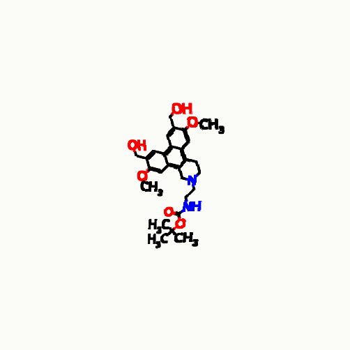 COc1cc2c3c(c4cc(OC)c(CO)cc4c2cc1CO)CN(CCNC(=O)OC(C)(C)C)CC3